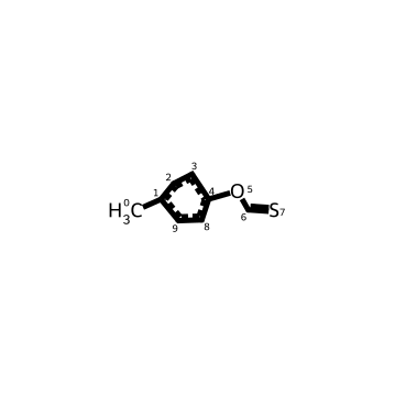 Cc1ccc(OC=S)cc1